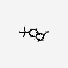 CC(C)(C)c1ccc2c(Br)ccn2c1